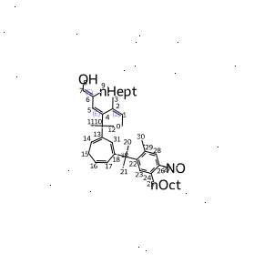 C\C=C(C)/C(=C\C(=C\O)CCCCCCC)C(C)(C)C1=CCC=CC(C(C)(C)c2cc(CCCCCCCC)c(N=O)cc2C)=C1